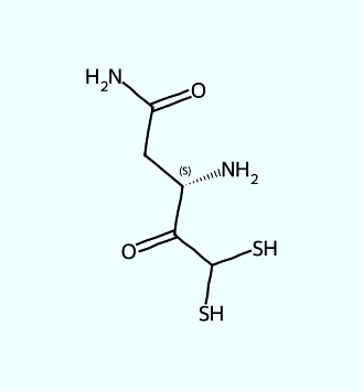 NC(=O)C[C@H](N)C(=O)C(S)S